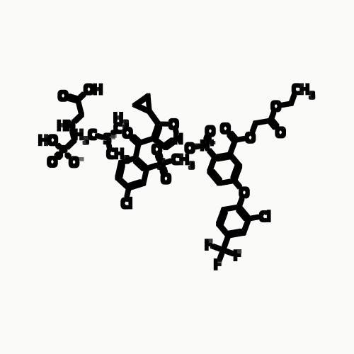 CCOC(=O)COC(=O)c1cc(Oc2ccc(C(F)(F)F)cc2Cl)ccc1[N+](=O)[O-].CS(=O)(=O)c1cc(Cl)ccc1C(=O)c1cnoc1C1CC1.C[S+](C)C.O=C(O)CNCP(=O)([O-])O